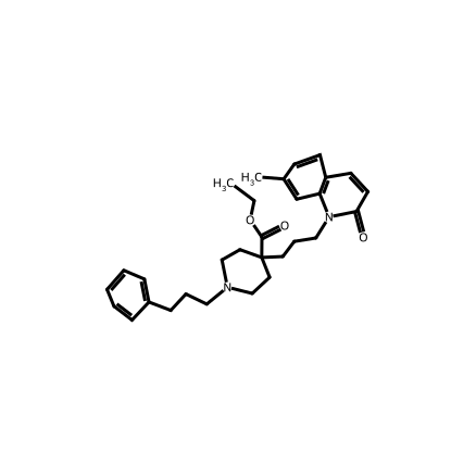 CCOC(=O)C1(CCCn2c(=O)ccc3ccc(C)cc32)CCN(CCCc2ccccc2)CC1